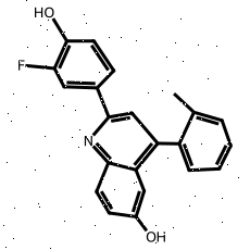 Cc1ccccc1-c1cc(-c2ccc(O)c(F)c2)nc2ccc(O)cc12